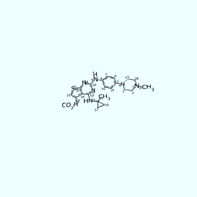 CN1CCN(c2ccc(Nc3nc(NC4(C)CC4)c4c(C(=O)O)csc4n3)cc2)CC1